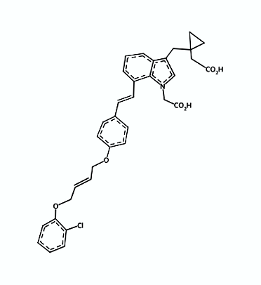 O=C(O)Cn1cc(CC2(CC(=O)O)CC2)c2cccc(C=Cc3ccc(OC/C=C/COc4ccccc4Cl)cc3)c21